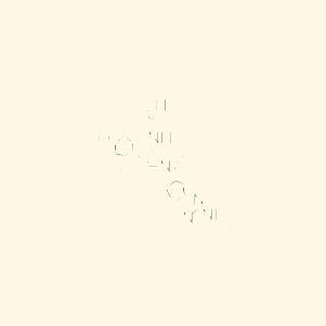 COc1cc(OC)cc(C(CC(=O)O)NC(=O)CNC(=O)c2cccc(NC(=N)N)c2)c1